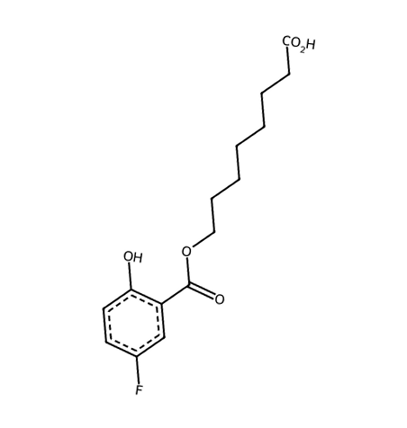 O=C(O)CCCCCCCOC(=O)c1cc(F)ccc1O